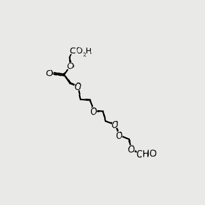 O=COCOOCCOCCOCC(=O)OCC(=O)O